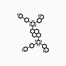 c1cnc2cc(-c3nc(-c4ccc(-c5ccncc5)cc4)nc(-c4ccc5ccc6c(-c7nc(-c8ccc(-c9ccncc9)cc8)nc(-c8ccc9cccnc9c8)n7)ccc7ccc4c5c76)n3)ccc2c1